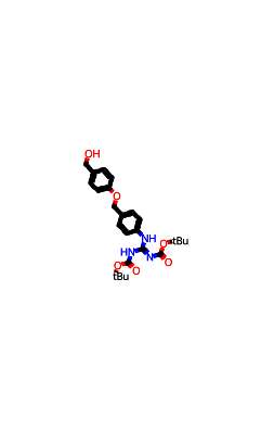 CC(C)(C)OC(=O)N=C(NC(=O)OC(C)(C)C)Nc1ccc(COc2ccc(CO)cc2)cc1